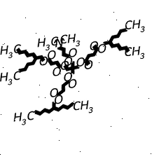 CCCCCC(CCCCC)COC(=O)CCC(=O)OCC(COC(=O)CCCN(C)C)(COC(=O)CCC(=O)OCC(CCCCC)CCCCC)COC(=O)CCC(=O)OCC(CCCCC)CCCCC